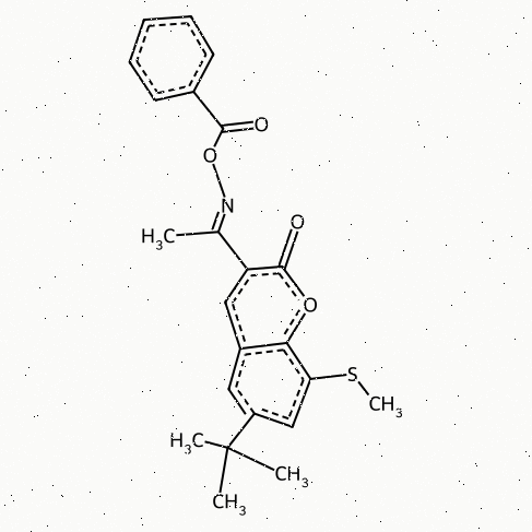 CSc1cc(C(C)(C)C)cc2cc(/C(C)=N/OC(=O)c3ccccc3)c(=O)oc12